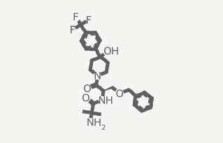 CC(C)(N)C(=O)N[C@H](COCc1ccccc1)C(=O)N1CCC(O)(c2ccc(C(F)(F)F)cc2)CC1